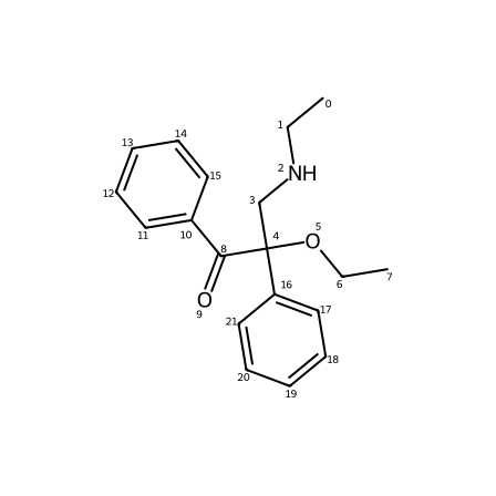 CCNCC(OCC)(C(=O)c1ccccc1)c1ccccc1